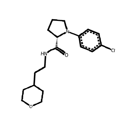 O=C(NCCC1CCOCC1)[C@@H]1CCCN1c1ccc(Cl)cc1